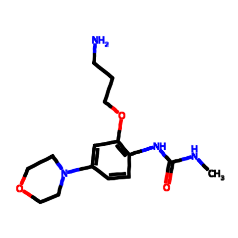 CNC(=O)Nc1ccc(N2CCOCC2)cc1OCCCN